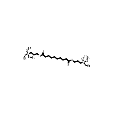 CCO[Si](CCCOC(=S)CCCCCCCCC(=S)OCCC[Si](OCC)(OCC)OCC)(OCC)OCC